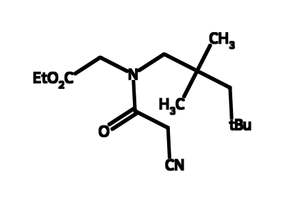 CCOC(=O)CN(CC(C)(C)CC(C)(C)C)C(=O)CC#N